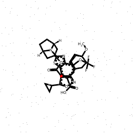 COC12CCC(c3noc(C4CC4)c3C(=O)OC3C[C@H]4CC[C@@H](C3)N4c3nc4c(OC(F)(F)F)cc(C(=O)O)cc4s3)(CC1)CC2